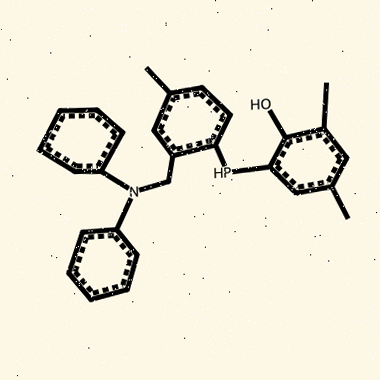 Cc1ccc(Pc2cc(C)cc(C)c2O)c(CN(c2ccccc2)c2ccccc2)c1